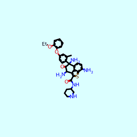 CCOc1ccccc1Oc1ccc(C2(N)C(=O)C(N)c3c(C(=O)NC4CCCNC4)sc4c(N)ccc2c34)c(C)c1